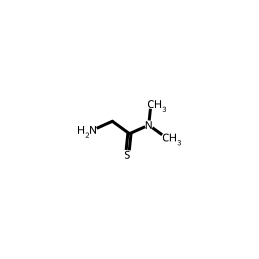 CN(C)C(=S)CN